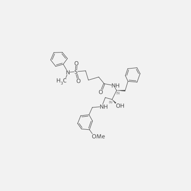 COc1cccc(CNC[C@H](O)[C@H](Cc2ccccc2)NC(=O)CCCS(=O)(=O)N(C)c2ccccc2)c1